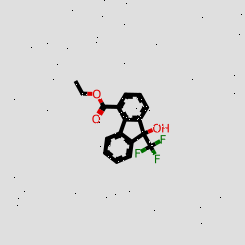 CCOC(=O)c1cccc2c1-c1ccccc1C2(O)C(F)(F)F